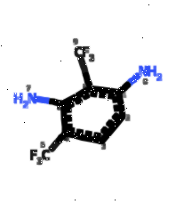 Nc1ccc(C(F)(F)F)c(N)c1C(F)(F)F